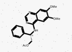 COc1cc2ncnc(N[C@H](COC(C)=O)c3ccccc3)c2cc1OC